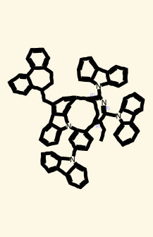 CCC1=C2\CC\C(=C(n3c4ccccc4c4ccccc43)/N=C\1n1c3ccccc3c3ccccc31)c1cc(CC3CCc4ccccc4-c4ccccc43)c3c4ccccc4n(c3c1)-c1cc(-n3c4ccccc4c4ccccc43)ccc12